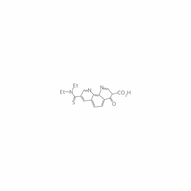 CCN(CC)C(=S)c1cnc2c3c(ccc2c1)C(=O)C(C(=O)O)C=N3